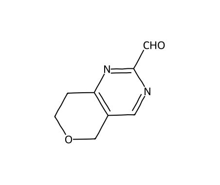 O=Cc1ncc2c(n1)CCOC2